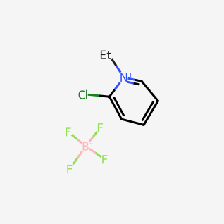 CC[n+]1ccccc1Cl.F[B-](F)(F)F